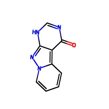 O=c1nc[nH]c2nn3ccccc3c12